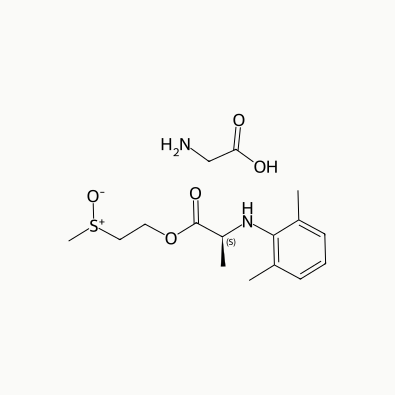 Cc1cccc(C)c1N[C@@H](C)C(=O)OCC[S+](C)[O-].NCC(=O)O